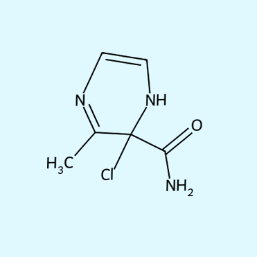 CC1=NC=CNC1(Cl)C(N)=O